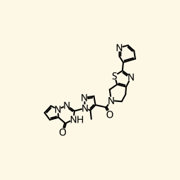 Cc1c(C(=O)N2CCc3nc(-c4cccnc4)sc3C2)cnn1-c1nn2cccc2c(=O)[nH]1